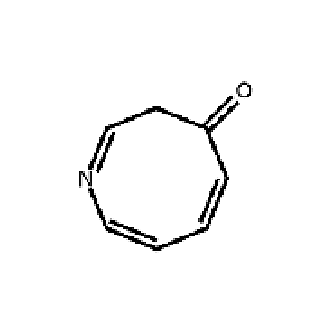 O=C1C=CC=CN=CC1